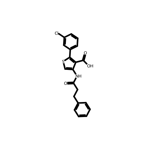 O=C(CCc1ccccc1)Nc1csc(-c2cccc(Cl)c2)c1C(=O)O